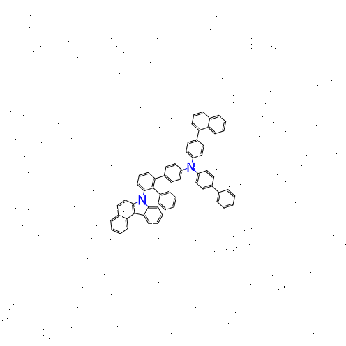 c1ccc(-c2ccc(N(c3ccc(-c4cccc(-n5c6ccccc6c6c7ccccc7ccc65)c4-c4ccccc4)cc3)c3ccc(-c4cccc5ccccc45)cc3)cc2)cc1